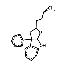 C=CCCC1CC(c2ccccc2)(c2ccccc2)C(O)O1